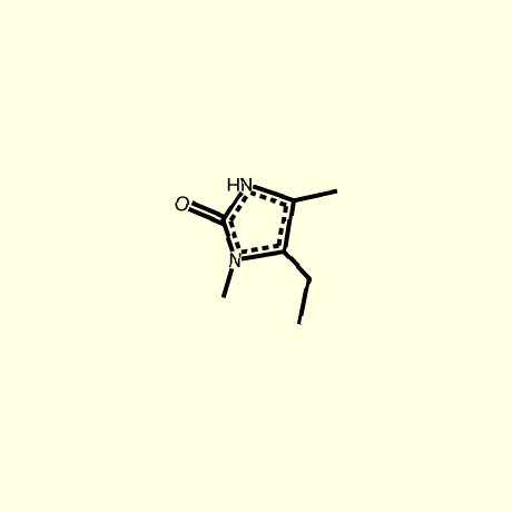 CCc1c(C)[nH]c(=O)n1C